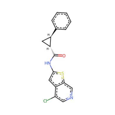 O=C(Nc1cc2c(Cl)cncc2s1)[C@@H]1C[C@H]1c1ccccc1